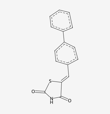 O=C1NC(=O)C(=Cc2ccc(-c3ccccc3)cc2)S1